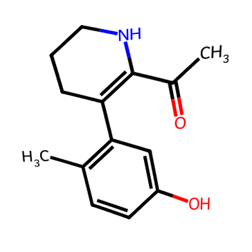 CC(=O)C1=C(c2cc(O)ccc2C)CCCN1